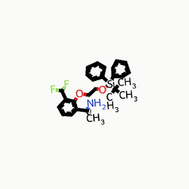 C[C@@H](N)c1cccc(C(F)F)c1OCCO[Si](c1ccccc1)(c1ccccc1)C(C)(C)C